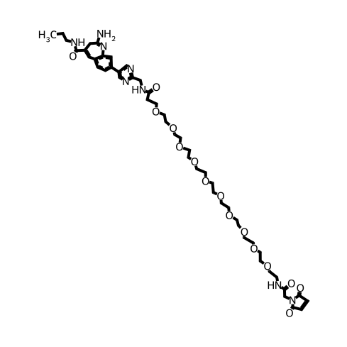 CCCNC(=O)C1=Cc2ccc(-c3cnc(CNC(=O)CCOCCOCCOCCOCCOCCOCCOCCOCCOCCOCCNC(=O)CN4C(=O)C=CC4=O)nc3)cc2N=C(N)C1